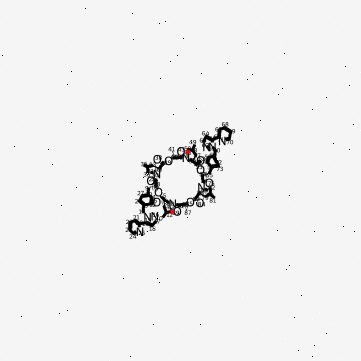 CC(C)C[C@H]1C(=O)O[C@H](Cc2ccc(Cn3nccc3-c3ccccn3)cc2)C(=O)N(C)[C@@H](CC(C)C)C(=O)O[C@H](C)C(=O)N(C)[C@@H](CC(C)C)C(=O)O[C@H](Cc2ccc(Cn3nccc3-c3ccccn3)cc2)C(=O)N(C)[C@@H](CC(C)C)C(=O)O[C@H](C)C(=O)N1C